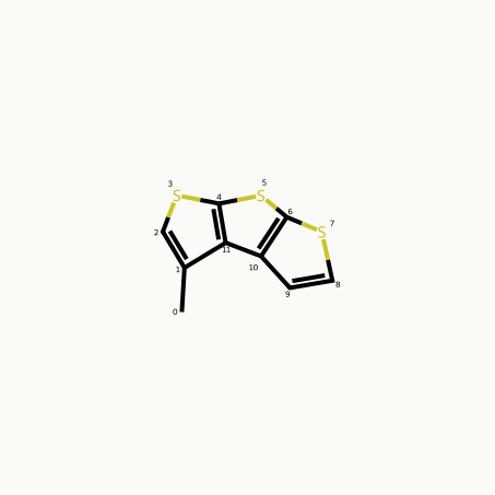 Cc1csc2sc3sccc3c12